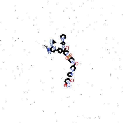 CC(C)n1cnc2cc(-c3ccc4c(c3)N(C3CC(N5CCCCC5)C3)C(=O)C43CCN(S(=O)(=O)C4CCN(C(=O)C5CCN(c6ccc([C@H]7CCC(=O)NC7=O)cn6)CC5)CC4)CC3)nc(NC3CC3)c21